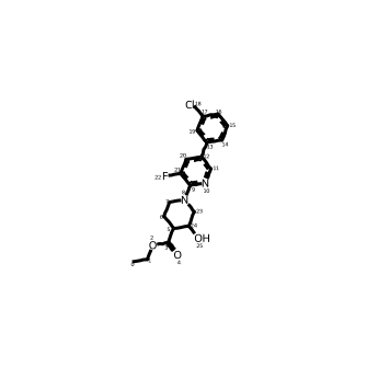 CCOC(=O)C1CCN(c2ncc(-c3cccc(Cl)c3)cc2F)CC1O